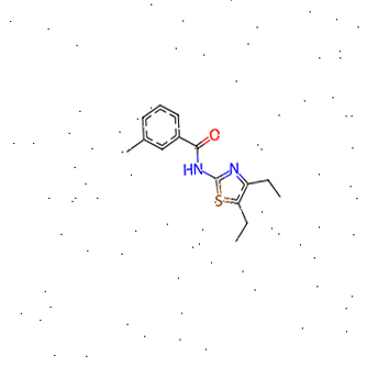 [CH2]c1cccc(C(=O)Nc2nc(CC)c(CC)s2)c1